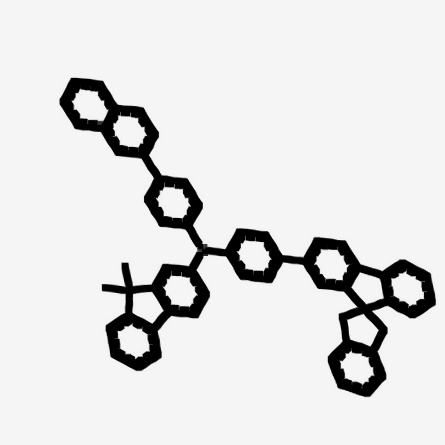 CC1(C)c2ccccc2-c2ccc(N(c3ccc(-c4ccc5c(c4)C4(Cc6ccccc6C4)c4ccccc4-5)cc3)c3ccc(-c4ccc5ccccc5c4)cc3)cc21